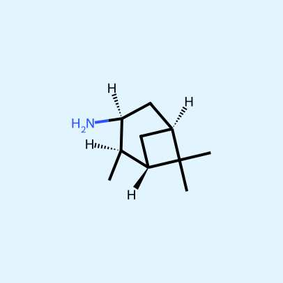 C[C@H]1[C@@H](N)C[C@@H]2C[C@@H]1C2(C)C